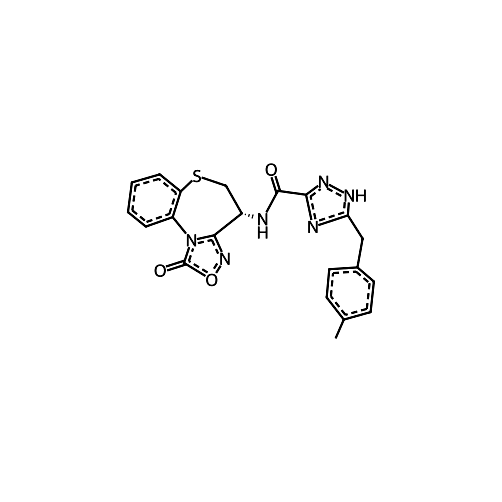 Cc1ccc(Cc2nc(C(=O)N[C@H]3CSc4ccccc4-n4c3noc4=O)n[nH]2)cc1